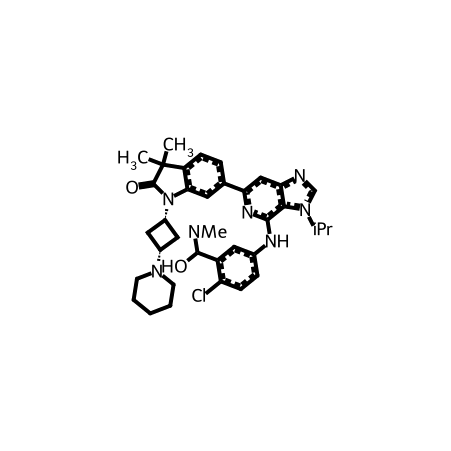 CNC(O)c1cc(Nc2nc(-c3ccc4c(c3)N([C@H]3C[C@@H](N5CCCCC5)C3)C(=O)C4(C)C)cc3ncn(C(C)C)c23)ccc1Cl